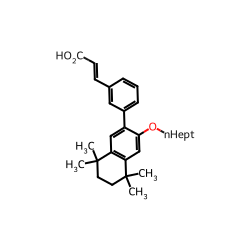 CCCCCCCOc1cc2c(cc1-c1cccc(C=CC(=O)O)c1)C(C)(C)CCC2(C)C